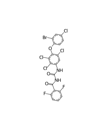 O=C(NC(=O)c1c(F)cccc1F)Nc1cc(Cl)c(Oc2ccc(Cl)cc2Br)c(Cl)c1Cl